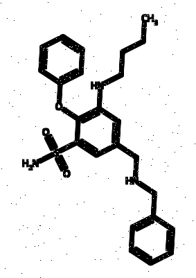 CCCCNc1cc(CNCc2ccccc2)cc(S(N)(=O)=O)c1Oc1ccccc1